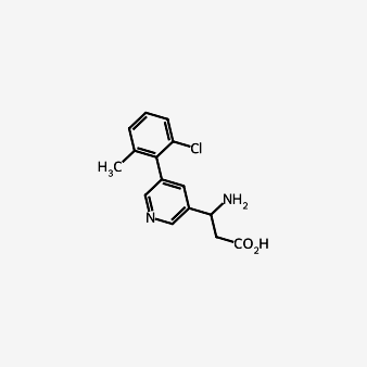 Cc1cccc(Cl)c1-c1cncc(C(N)CC(=O)O)c1